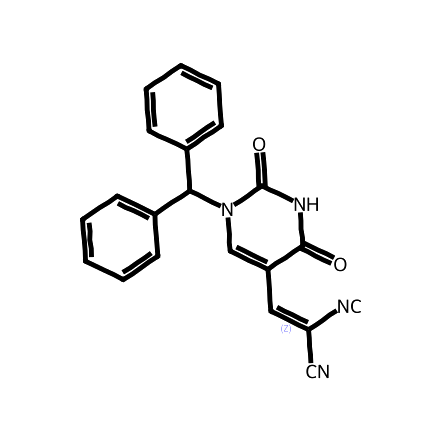 [C-]#[N+]/C(C#N)=C\c1cn(C(c2ccccc2)c2ccccc2)c(=O)[nH]c1=O